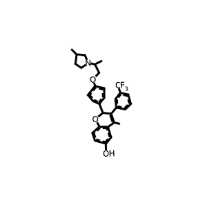 CC1=C(c2cccc(C(F)(F)F)c2)C(c2ccc(OCC(C)N3CCC(C)C3)cc2)Oc2ccc(O)cc21